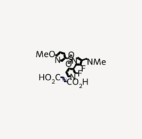 CNCc1cn(S(=O)(=O)c2ccc(OC)nc2)c(-c2cccnc2F)c1F.O=C(O)/C=C/C(=O)O